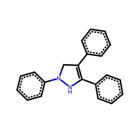 c1ccc(C2=C(c3ccccc3)NN(c3ccccc3)C2)cc1